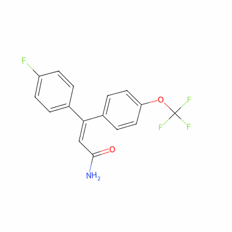 NC(=O)C=C(c1ccc(F)cc1)c1ccc(OC(F)(F)F)cc1